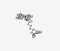 CCCCC(N)(CCCC)CCCC.CCCCCCCC(=O)O